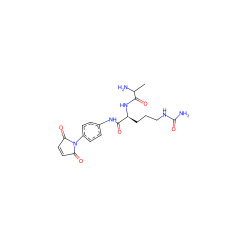 CC(N)C(=O)N[C@@H](CCCNC(N)=O)C(=O)Nc1ccc(N2C(=O)C=CC2=O)cc1